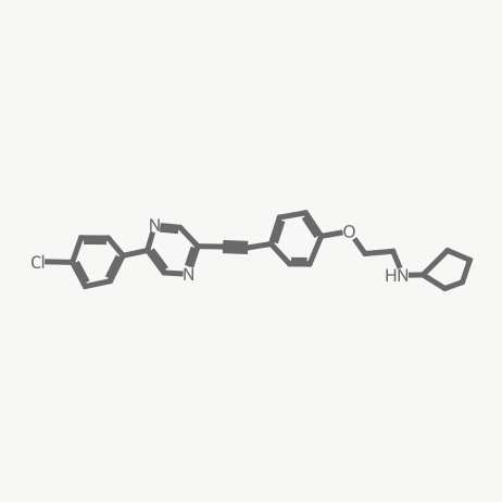 Clc1ccc(-c2cnc(C#Cc3ccc(OCCNC4CCCC4)cc3)cn2)cc1